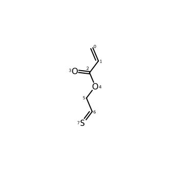 C=CC(=O)OCC=S